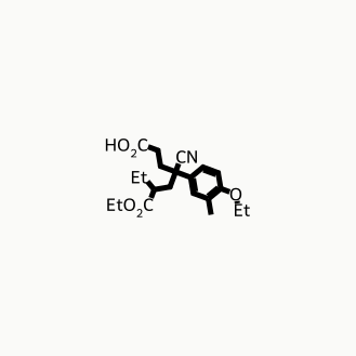 CCOC(=O)C(CC)CC(C#N)(CCC(=O)O)c1ccc(OCC)c(C)c1